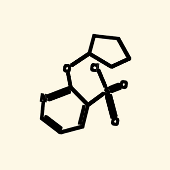 O=S(=O)(Cl)c1cccnc1OC1CCCC1